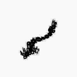 CC1(C)[C@H](Oc2ccc(C#N)c(Cl)c2)C(C)(C)[C@H]1N1Cc2cc(N3CCN(C4CN(C5CCN(c6ccc7c(c6)C(=O)N(C6CCC(=O)NC6=O)C7=O)CC5)C4)CC3)ccc2C1=O